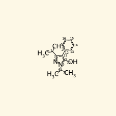 CC(C)c1nn(C(C)C)c(O)c1-c1ccccc1